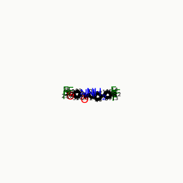 N[C@H](Cc1ccc(-c2ccc(C(F)(F)F)cc2)cc1)C(=O)Nc1ccc(OC(F)(F)F)cc1